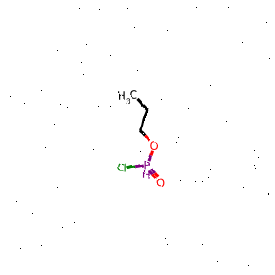 CCCO[PH](=O)Cl